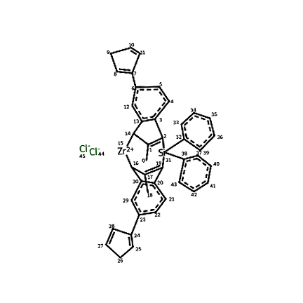 CC1=C2c3ccc(C4=CCC=C4)cc3[CH]1[Zr+2][CH]1C(C)=C(c3ccc(C4=CCC=C4)cc31)[Si]2(c1ccccc1)c1ccccc1.[Cl-].[Cl-]